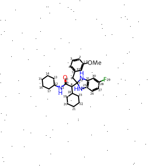 COc1cccc(CC2(C(C(=O)NC3CCCCC3)C3CCCCC3)Nc3ccc(F)cc3N2)c1